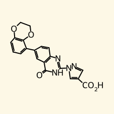 O=C(O)c1cnn(-c2nc3ccc(-c4cccc5c4OCCO5)cc3c(=O)[nH]2)c1